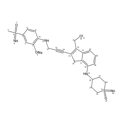 COc1cc(S(C)(=N)=O)ccc1NCC#Cc1sc2c(NC3CCS(=N)(=O)CC3)cccc2c1CC(F)(F)F